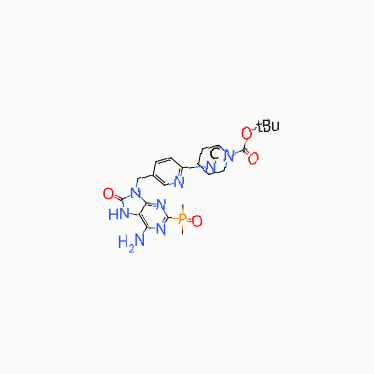 CC(C)(C)OC(=O)N1CC2CCC1CN2c1ccc(Cn2c(=O)[nH]c3c(N)nc(P(C)(C)=O)nc32)cn1